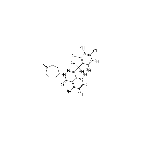 [2H]c1c([2H])c(C([2H])([2H])c2nn(C3CCCN(C)CC3)c(=O)c3c([2H])c([2H])c([2H])c([2H])c23)c([2H])c([2H])c1Cl